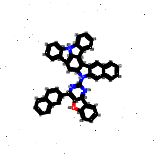 c1ccc2cc(-c3nc(-n4c5cc6ccccc6cc5c5c6c7ccccc7n7c8ccccc8c(cc54)c67)nc4c3oc3ccccc34)ccc2c1